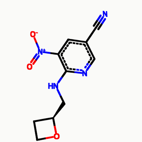 N#Cc1cnc(NC[C@@H]2CCO2)c([N+](=O)[O-])c1